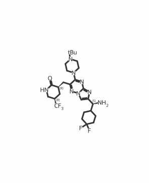 CC(C)(C)N1CCN(c2nc3nc([C@@H](N)C4CCC(F)(F)CC4)cn3nc2C[C@H]2C[C@@H](C(F)(F)F)CNC2=O)CC1